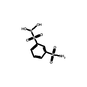 NS(=O)(=O)c1cccc(S(=O)(=O)N(O)O)c1